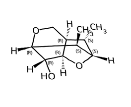 C[C@H]1[C@@H]2CO[C@@H]3[C@@H](C)[C@H]1O[C@H]2[C@@H]3O